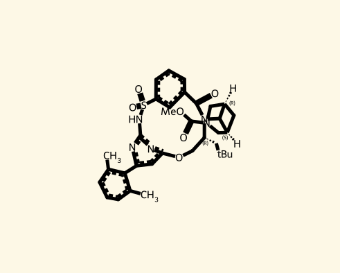 COC(=O)N1C[C@H]2C[C@@H](C1)C2N1C(=O)c2cccc(c2)S(=O)(=O)Nc2nc(cc(-c3c(C)cccc3C)n2)OC[C@H]1CC(C)(C)C